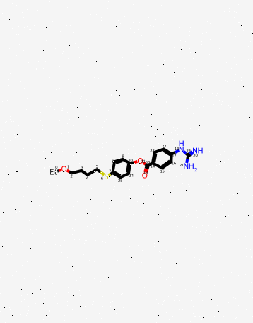 CCOCCCCSc1ccc(OC(=O)c2ccc(NC(=N)N)cc2)cc1